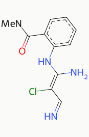 CNC(=O)c1ccccc1N/C(N)=C(\Cl)C=N